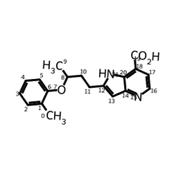 Cc1ccccc1OC(C)CCc1cc2nccc(C(=O)O)c2[nH]1